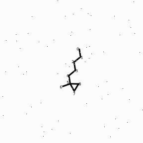 CCCCCC1(C)CC1